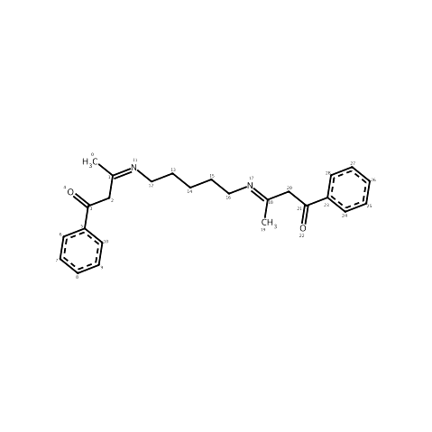 C/C(CC(=O)c1ccccc1)=N/CCCCC/N=C(\C)CC(=O)c1ccccc1